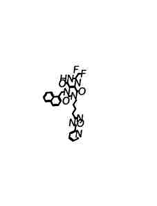 O=c1[nH]c(C(F)F)nc2c(=O)n(CCCCc3noc(-c4ccccn4)n3)c(=O)n(Cc3cccc4ccccc34)c12